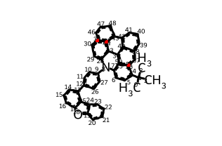 CC(C)(C)c1ccc(N(c2ccc(-c3cccc4oc5ccccc5c34)cc2)c2ccccc2-c2cccc3cccc(-c4ccccc4)c23)cc1